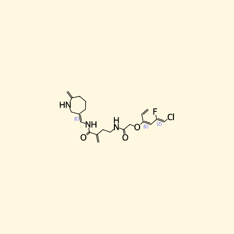 C=C/C(=C\C(F)=C\Cl)OCC(=O)NCCC(=C)C(=O)N/C=C1\CCCC(=C)NC1